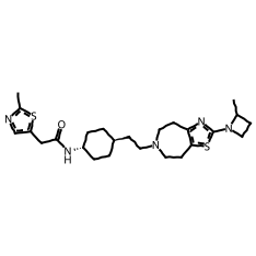 Cc1ncc(CC(=O)N[C@H]2CC[C@H](CCN3CCc4nc(N5CCC5C)sc4CC3)CC2)s1